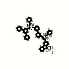 CC1(C)c2ccccc2-c2cc(-c3cc(-c4cccc(-c5cccc(-c6nc(-c7ccccc7)nc(-c7cc(-c8ccccc8)cc(-c8ccccc8)c7)n6)c5)c4)nc(-c4ccccc4)n3)ccc21